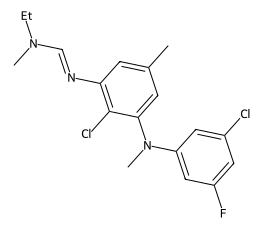 CCN(C)C=Nc1cc(C)cc(N(C)c2cc(F)cc(Cl)c2)c1Cl